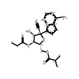 CCC(=O)O[C@H]1[C@@H](O)[C@](C#N)(c2ccc3c(N)ncnn23)O[C@@H]1COC(=O)C(C)C